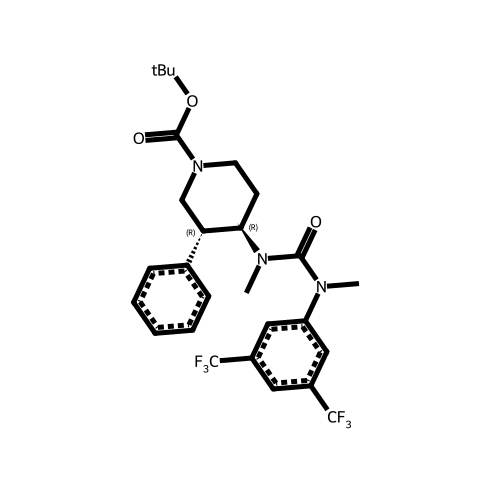 CN(C(=O)N(C)[C@@H]1CCN(C(=O)OC(C)(C)C)C[C@H]1c1ccccc1)c1cc(C(F)(F)F)cc(C(F)(F)F)c1